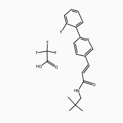 CC(C)(C)CNC(=O)C=Cc1ccc(-c2ccccc2F)nc1.O=C(O)C(F)(F)F